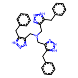 c1ccc(Cc2[nH]nnc2CN(Cc2nn[nH]c2Cc2ccccc2)Cc2nn[nH]c2Cc2ccccc2)cc1